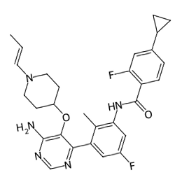 CC=CN1CCC(Oc2c(N)ncnc2-c2cc(F)cc(NC(=O)c3ccc(C4CC4)cc3F)c2C)CC1